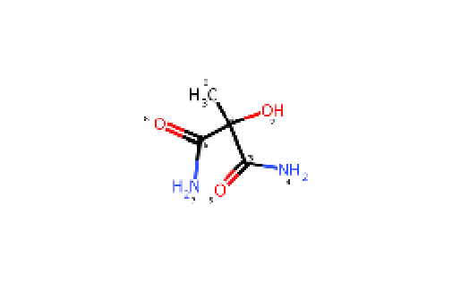 CC(O)(C(N)=O)C(N)=O